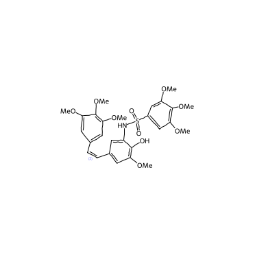 COc1cc(/C=C\c2cc(OC)c(OC)c(OC)c2)cc(NS(=O)(=O)c2cc(OC)c(OC)c(OC)c2)c1O